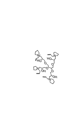 C=CC[N+]1(CC(O)COCC(OCC(O)C[N+]2(CC=C)CCCC2)C(COCC(O)C[N+]2(CC=C)CCCC2)OCC(O)C[N+]2(CC=C)CCCC2)CCCC1